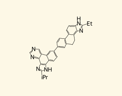 CCc1nc2c3c(ccc2[nH]1)-c1ccc(-c2ccc4c(c2)c2cncnc2c2nc(C(C)C)[nH]c42)cc1CC3